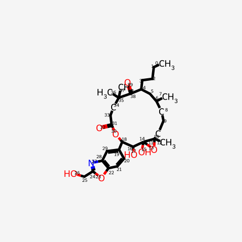 CCCCC1CC(C)CCCC2(C)OC2(O)C(O)C(c2ccc3oc(CO)nc3c2)OC(=O)CCC(C)(C)C1=O